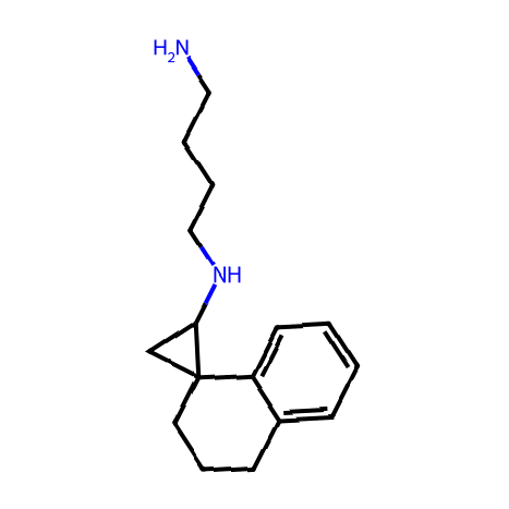 NCCCCNC1CC12CCCc1ccccc12